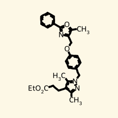 CCOC(=O)CCc1c(C)nn(Cc2ccc(OCc3nc(-c4ccccc4)oc3C)cc2)c1C